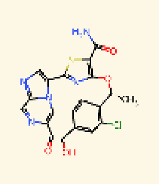 C[C@@H](Oc1nc(-c2cnc3cnc(C=O)cn23)sc1C(N)=O)c1ccc(CO)cc1Cl